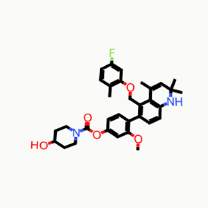 COc1cc(OC(=O)N2CCC(O)CC2)ccc1-c1ccc2c(c1COc1cc(F)ccc1C)C(C)=CC(C)(C)N2